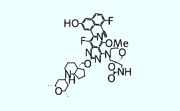 C#Cc1c(F)ccc2cc(O)cc(-c3nc(OC)c4c(N5CCOC[C@@]6(CNC(=O)O6)C5)nc(OC[C@]56CCC[C@H]5N(C5C[C@@H](C)O[C@@H](C)C5)CCC6)nc4c3F)c12